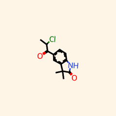 CC(Cl)C(=O)c1ccc2c(c1)C(C)(C)C(=O)N2